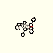 c1ccc(-c2cccc(N(c3ccc(-c4ccccc4)cc3-c3cccc4ccccc34)c3cccc4c3oc3c4ccc4cccnc43)c2)cc1